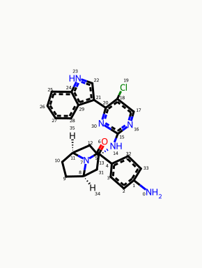 Nc1ccc(C(=O)N2[C@@H]3CC[C@H]2C[C@H](Nc2ncc(Cl)c(-c4c[nH]c5ccccc45)n2)C3)cc1